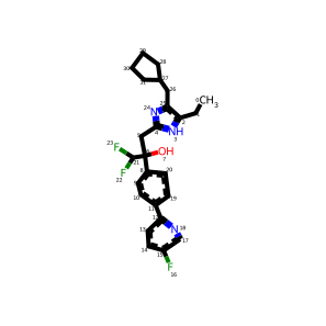 CCc1[nH]c(CC(O)(c2ccc(-c3ccc(F)cn3)cc2)C(F)F)nc1CC1CCCC1